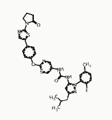 Cc1ccc(F)c(-n2nc(CC(C)C)cc2NC(=O)Nc2cnc(Oc3ccc(-c4cnc(N5CCCC5=O)s4)cc3)nc2)c1